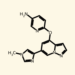 Cn1cnc(-c2cc(Oc3ccc(N)cn3)c3ccnn3c2)c1